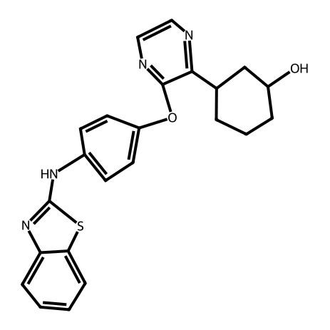 OC1CCCC(c2nccnc2Oc2ccc(Nc3nc4ccccc4s3)cc2)C1